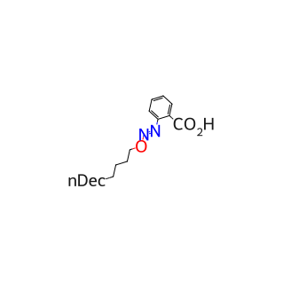 CCCCCCCCCCCCCCON=Nc1ccccc1C(=O)O